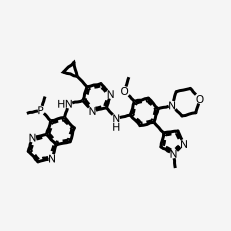 COc1cc(N2CCOCC2)c(-c2cnn(C)c2)cc1Nc1ncc(C2CC2)c(Nc2ccc3nccnc3c2P(C)C)n1